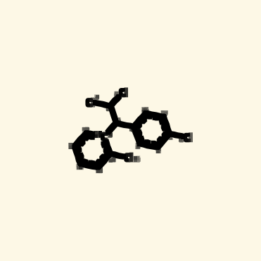 Clc1ccc(C(C(Cl)Cl)[14c]2ccccc2Cl)cc1